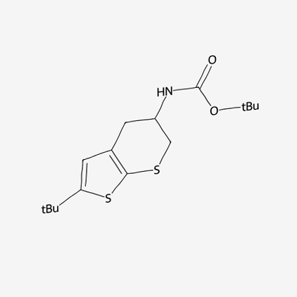 CC(C)(C)OC(=O)NC1CSc2sc(C(C)(C)C)cc2C1